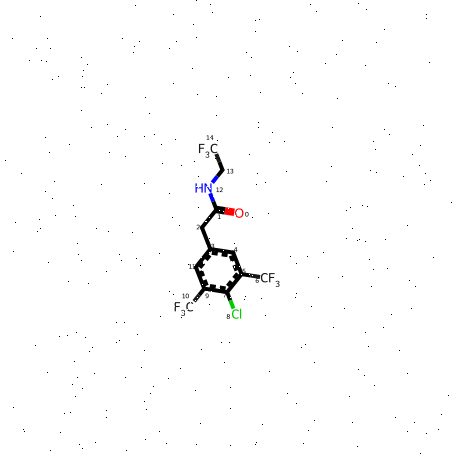 O=C([CH]c1cc(C(F)(F)F)c(Cl)c(C(F)(F)F)c1)NCC(F)(F)F